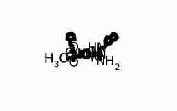 CCOC(=O)C1CC2(CCN(c3nc(N)nc(NCc4ccc5ccccc5c4)n3)CC2)CN1C(=O)OCc1ccccc1